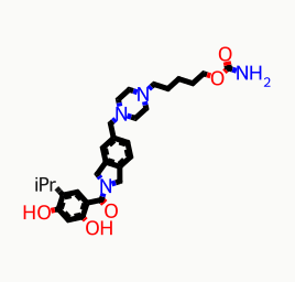 CC(C)c1cc(C(=O)N2Cc3ccc(CN4CCN(CCCCCOC(N)=O)CC4)cc3C2)c(O)cc1O